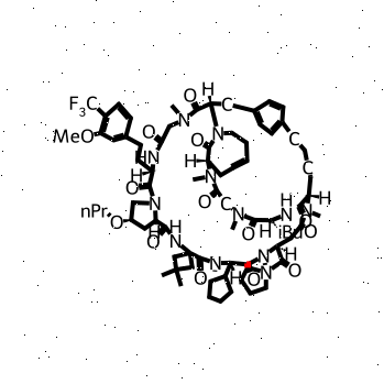 CCCO[C@@H]1C[C@H]2C(=O)NC3(CC(C)(C)C3)C(=O)N(C)[C@@H](C3CCCC3)C(=O)N(C)[C@H](C(=O)N3CCCC3)CC(=O)N(C)[C@H]3CCCCc4ccc(cc4)C[C@@H](C(=O)N(C)CC(=O)N[C@@H](CCc4ccc(C(F)(F)F)c(OC)c4)C(=O)N2C1)N1CC/C=C\C[C@@H](C1=O)N(C)C(=O)CN(C)C(=O)[C@H]([C@@H](C)CC)NC3=O